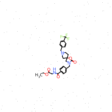 CCOC(=O)CNC(=O)c1ccc(CN2CC3(CCN(Cc4ccc(C(F)(F)F)cc4)CC3)OC2=O)cc1